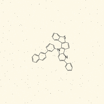 c1ccc(-c2ccc3c(n2)c2ccc4sc5ccccc5c4c2n3-c2cccc(-c3ccc4ccccc4c3)c2)cc1